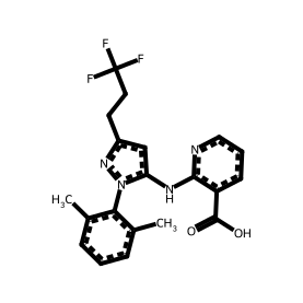 Cc1cccc(C)c1-n1nc(CCC(F)(F)F)cc1Nc1ncccc1C(=O)O